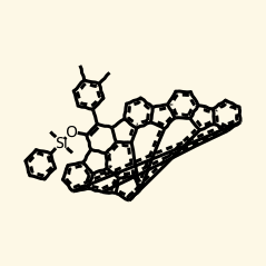 Cc1ccc(C2=C(O[Si](C)(C)c3ccccc3)C3c4ccc5c6ccc7c8ccc9c%10ccc%11c%12c%13c(c3c3c4c5c4c6c7c5c8c9c(c%10%12)c6c%13c3c4c56)C2%11)cc1C